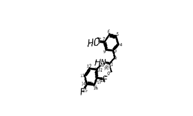 C[C@H](Cc1cccc(O)c1)Nc1ccc(F)cc1F